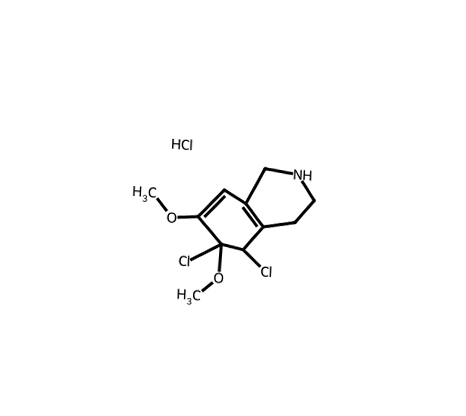 COC1=CC2=C(CCNC2)C(Cl)C1(Cl)OC.Cl